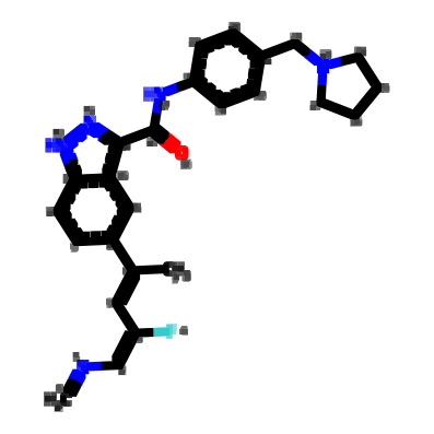 C=N/C=C(F)\C=C(/C)c1ccc2[nH]nc(C(=O)Nc3ccc(CN4CCCC4)cc3)c2c1